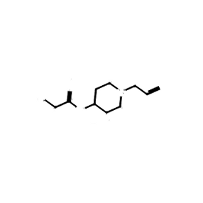 C=CCN1CCC(OC(=O)CCl)CC1.Cl